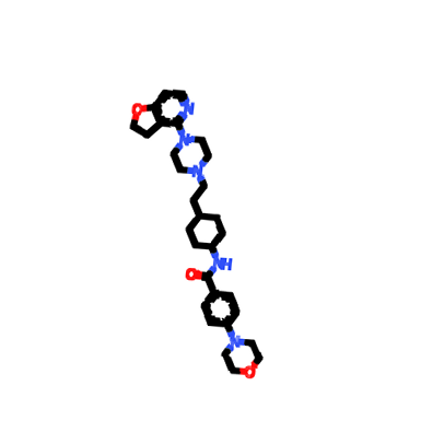 O=C(NC1CCC(CCN2CCN(c3nccc4c3CCO4)CC2)CC1)c1ccc(N2CCOCC2)cc1